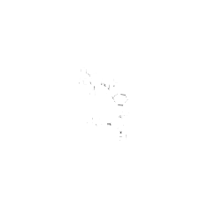 CCN1C[C@H](C)C[C@H](Oc2ccc3c(c2)CN([C@@H]2CCC(=O)NC2=O)C3=O)C1